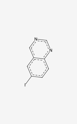 Ic1ccc2ncncc2c1